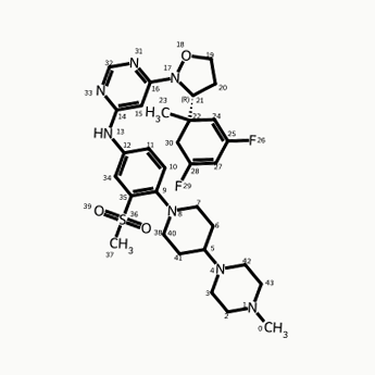 CN1CCN(C2CCN(c3ccc(Nc4cc(N5OCC[C@@H]5C5(C)C=C(F)C=C(F)C5)ncn4)cc3S(C)(=O)=O)CC2)CC1